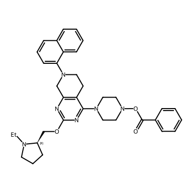 CCN1CCC[C@@H]1COc1nc2c(c(N3CCN(OC(=O)c4ccccc4)CC3)n1)CCN(c1cccc3ccccc13)C2